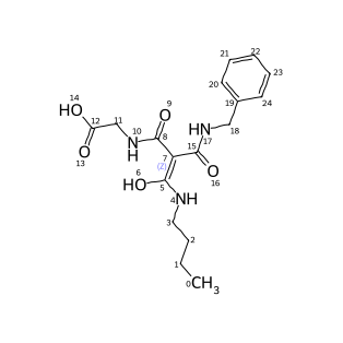 CCCCN/C(O)=C(/C(=O)NCC(=O)O)C(=O)NCc1ccccc1